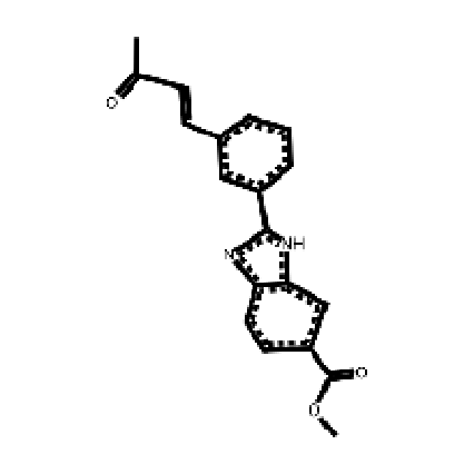 COC(=O)c1ccc2nc(-c3cccc(/C=C/C(C)=O)c3)[nH]c2c1